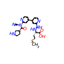 CSCC[C@H](NNc1cc(-c2ccnc(N(C#N)C(=O)[C@H]3CCNC3)c2)ccn1)C(=O)O